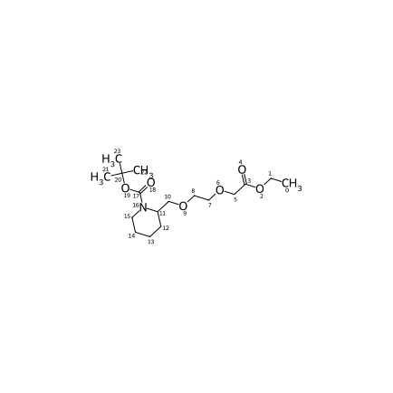 CCOC(=O)COCCOCC1CCCCN1C(=O)OC(C)(C)C